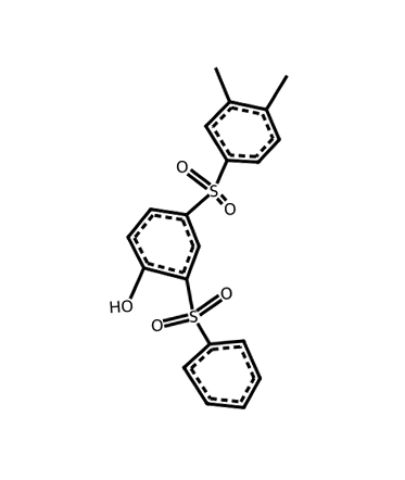 Cc1ccc(S(=O)(=O)c2ccc(O)c(S(=O)(=O)c3ccccc3)c2)cc1C